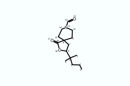 CCCC(C)(C)C1CC2(CCN(C=O)CC2)C(=O)O1